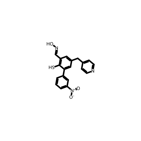 O=[N+]([O-])c1cccc(-c2cc(Cc3ccncc3)cc(C=NO)c2S)c1